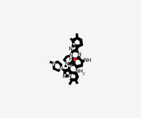 Cc1ccc2c(/N=C3\N/C(=N/c4c(N5CCN(C)CC5)nn5c(C)c(C)ccc45)C(N)=CC3=N)c(N3CCN(C)CC3)nn2c1C